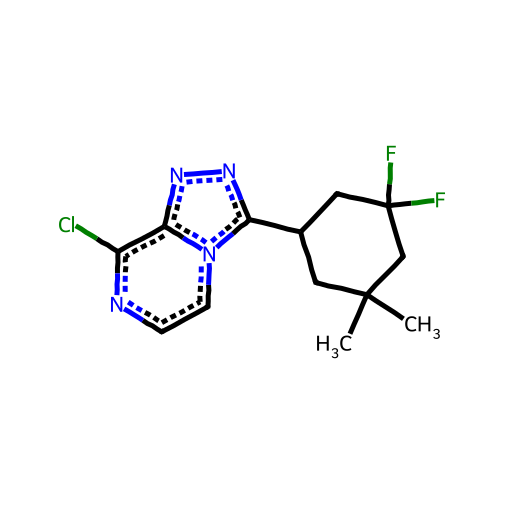 CC1(C)CC(c2nnc3c(Cl)nccn23)CC(F)(F)C1